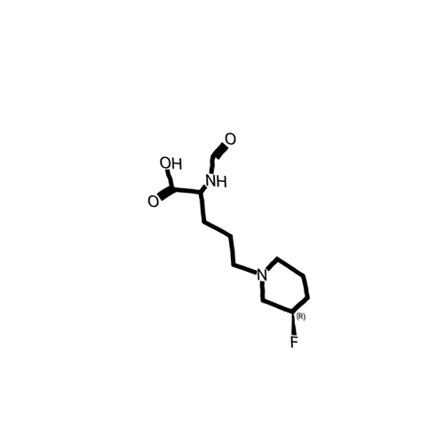 O=CNC(CCCN1CCC[C@@H](F)C1)C(=O)O